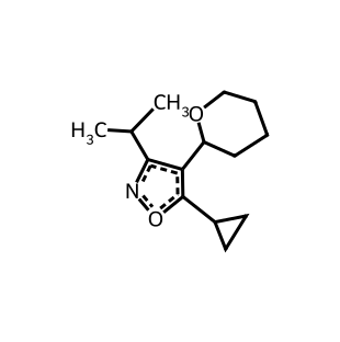 CC(C)c1noc(C2CC2)c1C1CCCCO1